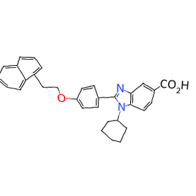 O=C(O)c1ccc2c(c1)nc(-c1ccc(OCCc3cccc4ccccc34)cc1)n2C1CCCCC1